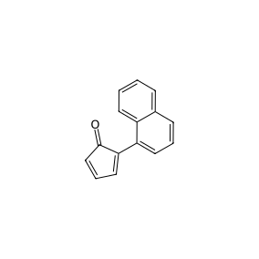 O=C1C=CC=C1c1cccc2ccccc12